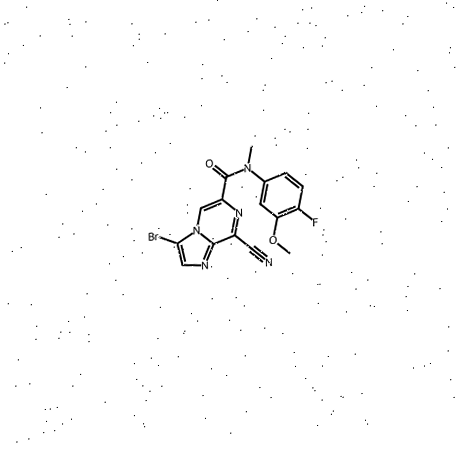 COc1cc(N(C)C(=O)c2cn3c(Br)cnc3c(C#N)n2)ccc1F